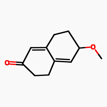 COC1C=C2CCC(=O)C=C2CC1